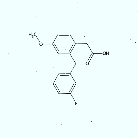 COc1ccc(CC(=O)O)c(Cc2cccc(F)c2)c1